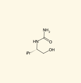 CC(C)[C@@H](CO)NC(N)=O